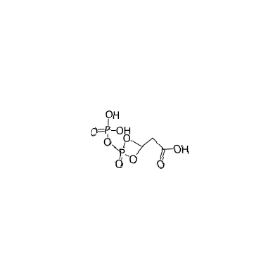 O=C(O)CC1OP(=O)(OP(=O)(O)O)O1